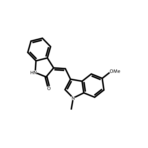 COc1ccc2c(c1)c(C=C1C(=O)Nc3ccccc31)cn2C